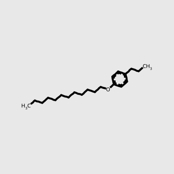 CCCCCCCCCCCCOc1ccc(CCC)cc1